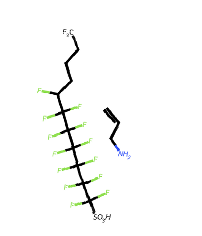 C=CCN.O=S(=O)(O)C(F)(F)C(F)(F)C(F)(F)C(F)(F)C(F)(F)C(F)(F)C(F)CCCC(F)(F)F